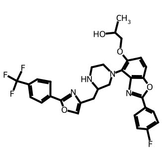 CC(O)COc1ccc2oc(-c3ccc(F)cc3)nc2c1N1CCNC(Cc2coc(-c3ccc(C(F)(F)F)cc3)n2)C1